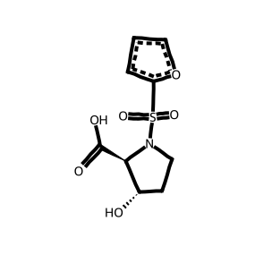 O=C(O)[C@@H]1[C@@H](O)CCN1S(=O)(=O)c1ccco1